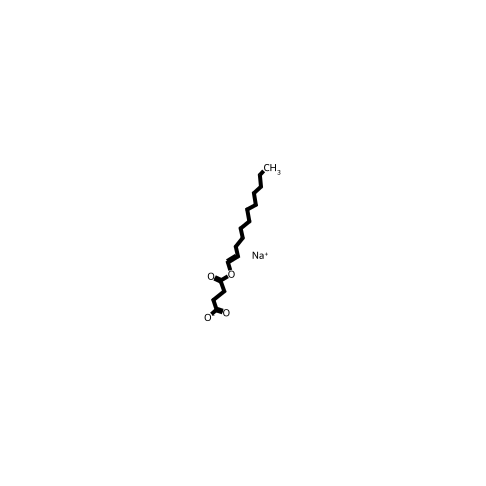 CCCCCCCCCC/C=C/OC(=O)CCC(=O)[O-].[Na+]